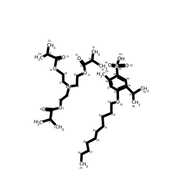 CC(C)C(=O)OCCN(CCOC(=O)C(C)C)CCOC(=O)C(C)C.CCCCCCCCCCOc1cc(C)c(S(=O)(=O)O)cc1C(C)C